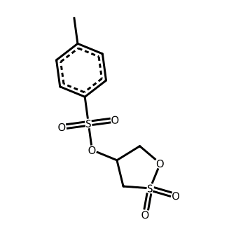 Cc1ccc(S(=O)(=O)OC2COS(=O)(=O)C2)cc1